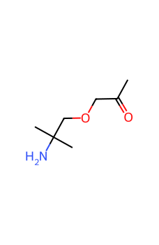 CC(=O)COCC(C)(C)N